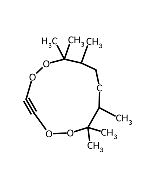 CC1CCC(C)C(C)(C)OOC#COOC1(C)C